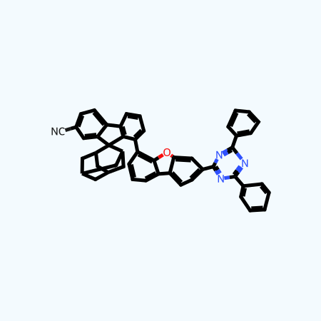 N#Cc1ccc2c(c1)C1(c3c-2cccc3-c2cccc3c2oc2cc(-c4nc(-c5ccccc5)nc(-c5ccccc5)n4)ccc23)C2CC3CC(C2)CC1C3